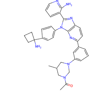 CC(=O)N1CC(C)CN(c2cccc(-c3ccc4nc(-c5cccnc5N)n(-c5ccc(C6(N)CCC6)cc5)c4n3)c2)C1